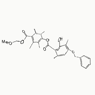 COCOC(=O)c1c(C)c(C)c(OC(=O)c2c(C)cc(OCc3ccccc3)c(C)c2O)c(C)c1C